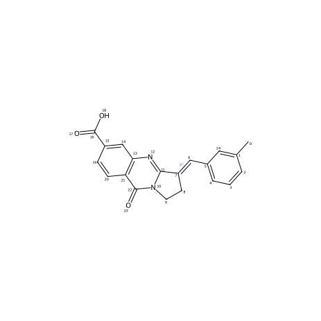 Cc1cccc(/C=C2\CCn3c2nc2cc(C(=O)O)ccc2c3=O)c1